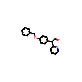 O=CC(c1ccc(OCc2ccccc2)cc1)c1ccccn1